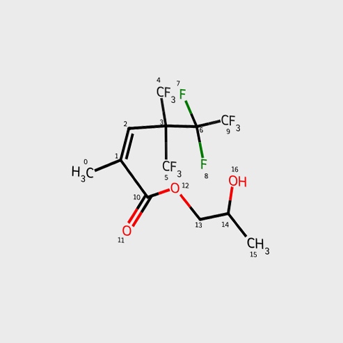 CC(=CC(C(F)(F)F)(C(F)(F)F)C(F)(F)C(F)(F)F)C(=O)OCC(C)O